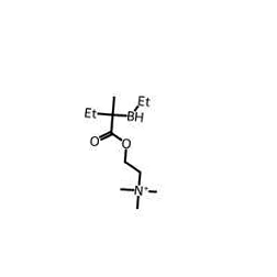 CCBC(C)(CC)C(=O)OCC[N+](C)(C)C